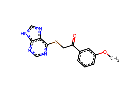 COc1cccc(C(=O)CSc2ncnc3[nH]cnc23)c1